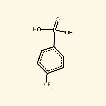 O=P(O)(O)c1ccc(C(F)(F)F)cc1